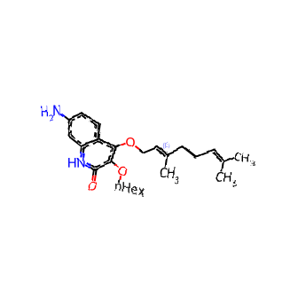 CCCCCCOc1c(OC/C=C(\C)CCC=C(C)C)c2ccc(N)cc2[nH]c1=O